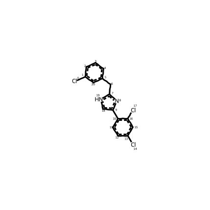 Clc1cccc(Cc2nc(-c3ccc(Cl)cc3Cl)c[nH]2)c1